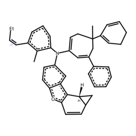 CC/C=C\c1cccc(N(C2=CCC(C)(C3=CCCC=C3)CC(c3ccccc3)=C2)c2ccc3oc4c(c3c2)[C@@H]2CC2C=C4)c1C